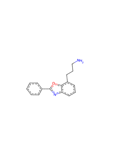 NCCCc1cccc2nc(-c3ccccc3)oc12